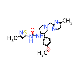 COc1ccc(C2CN(Cc3nccc(C)n3)CC[C@H]2NC(=O)Nc2cc(C)ns2)cc1